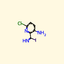 N=C(I)c1nc(Cl)ccc1N